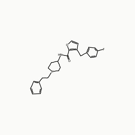 O=C(NC1CCN(CCc2ccccc2)CC1)c1occc1Cc1ccc(F)cc1